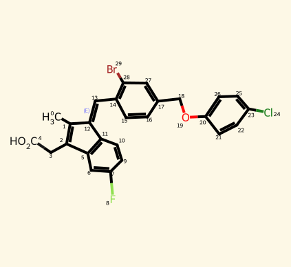 CC1=C(CC(=O)O)c2cc(F)ccc2/C1=C\c1ccc(COc2ccc(Cl)cc2)cc1Br